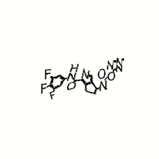 CN(C(=O)Oc1ncn(C)n1)C1CCc2c1cn(C)c2C(=O)Nc1cc(F)c(F)c(F)c1